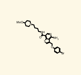 COC1CCN(CCCCNC(=O)c2cnc(N)c3c(COc4ccc(Br)cc4)csc23)CC1